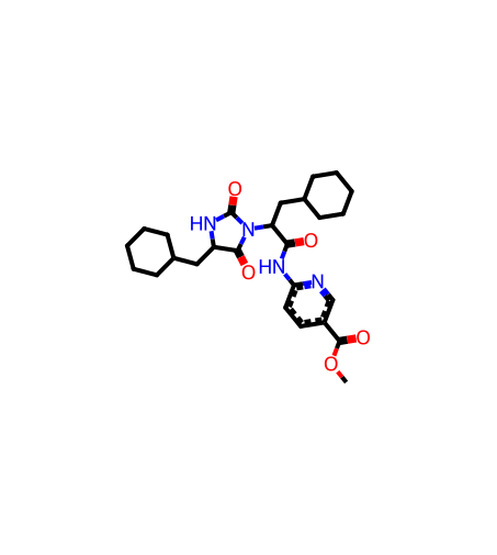 COC(=O)c1ccc(NC(=O)C(CC2CCCCC2)N2C(=O)NC(CC3CCCCC3)C2=O)nc1